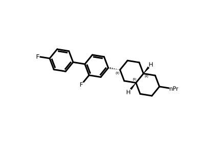 CCCC1CC[C@@H]2C[C@H](c3ccc(-c4ccc(F)cc4)c(F)c3)CC[C@@H]2C1